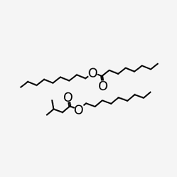 CCCCCCCCCOC(=O)CC(C)C.CCCCCCCCCOC(=O)CCCCCCC